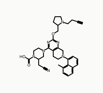 C#CCCN1CCCC1COc1nc2c(c(N3CCN(C(=O)O)C(CC#N)C3)n1)CCN(c1cccc3cccc(C)c13)C2